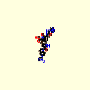 C[C@@H](NC(=O)Cn1cnnn1)[C@H]1C(=O)N2C(C(=O)O)=C(S[C@@H]3CN[C@H](C(=O)N4CCC5CN(CCN)CCC54)C3)[C@H](C)[C@H]12